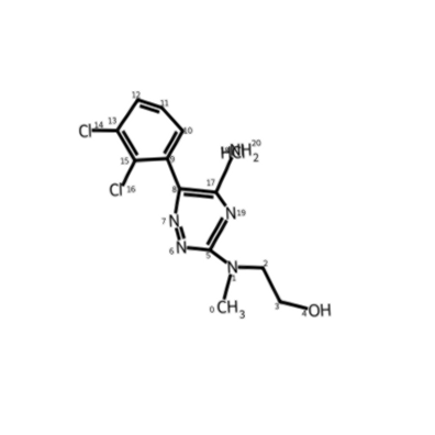 CN(CCO)c1nnc(-c2cccc(Cl)c2Cl)c(N)n1.Cl